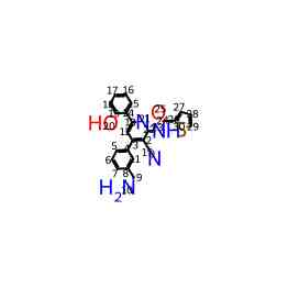 N#Cc1c(-c2cccc(CN)c2)cc(-c2ccccc2O)nc1NC(=O)c1cccs1